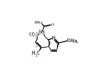 COc1ccc(/C(C)=C\C(=O)O)c(NC(=O)C(C)(C)C)n1